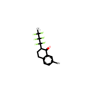 CC(C)c1ccc2c(c1)C(=O)C(C(F)(F)C(F)(F)C(F)(F)C(F)(F)F)CC2